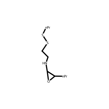 CCCSSCCNC1OC1CCC